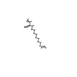 CCCCCCCCCCCC(O)C=O